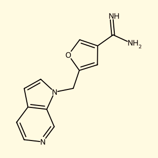 N=C(N)c1coc(Cn2ccc3ccncc32)c1